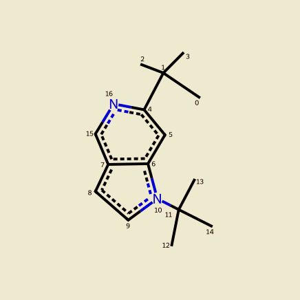 CC(C)(C)c1cc2c(ccn2C(C)(C)C)cn1